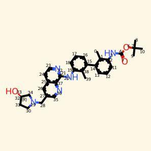 Cc1c(NC(=O)OC(C)(C)C)cccc1-c1cccc(Nc2nccc3cc(CN4CC[C@@H](O)C4)cnc23)c1C